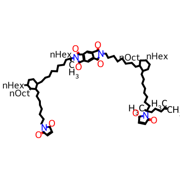 C=C(C)CCCC(C)(CCCCCCCCC1CCC(CCCCCC)C(CCCCCCCC)C1CCCCCCCCn1c(=O)c2cc3c(=O)n(C(C)(CCCCCC)CCCCCCCCC4CCC(CCCCCC)C(CCCCCCCC)C4CCCCCCCCN4C(=O)C=CC4=O)c(=O)c3cc2c1=O)N1C(=O)C=CC1=O